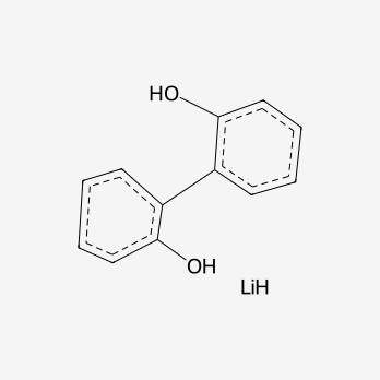 Oc1ccccc1-c1ccccc1O.[LiH]